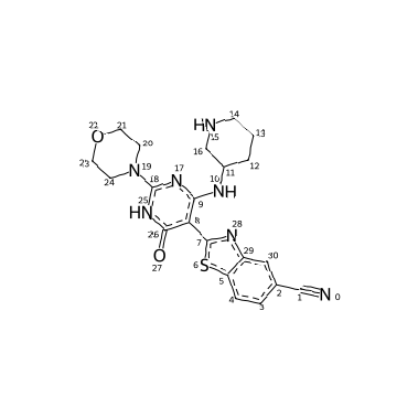 N#Cc1ccc2sc(-c3c(NC4CCCNC4)nc(N4CCOCC4)[nH]c3=O)nc2c1